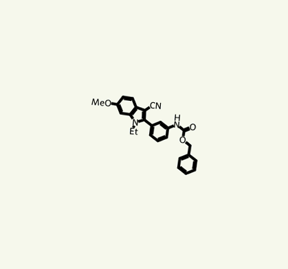 CCn1c(-c2cccc(NC(=O)OCc3ccccc3)c2)c(C#N)c2ccc(OC)cc21